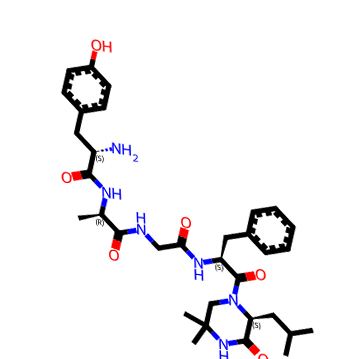 CC(C)C[C@H]1C(=O)NC(C)(C)CN1C(=O)[C@H](Cc1ccccc1)NC(=O)CNC(=O)[C@@H](C)NC(=O)[C@@H](N)Cc1ccc(O)cc1